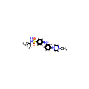 CC(C)NS(=O)(=O)c1ccc(Nc2cccc(N3CCN(C)CC3)c2)cc1